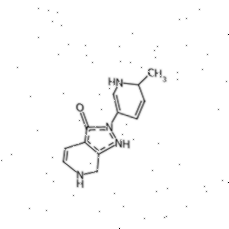 CC1C=CC(n2[nH]c3c(c2=O)C=CNC3)=CN1